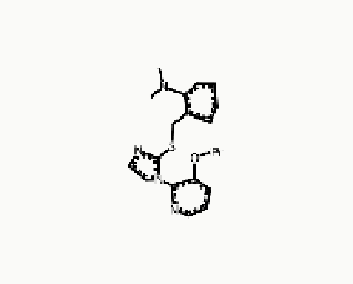 CC(C)Oc1cccnc1-n1ccnc1SCc1ccccc1N(C)C